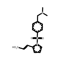 CN(C)Cc1ccc(S(=O)(=O)n2cccc2/C=C/C(=O)O)cc1